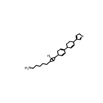 NCCCCCC1C2C(C3C=CC(C4C=CC(C5=CCN=C5)CC4)=CC3)[C@H]12